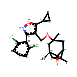 CC1C[C@@H]2CC(C)(OCc3c(-c4c(Cl)cccc4Cl)noc3C3CC3)CC1C2=O